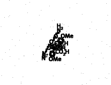 COc1ccc(C(=O)[C@](O)(C(=O)O)[C@@](O)(C(=O)O)C(=O)c2ccc(OC)cc2)cc1.[N-]=[N+]=NCCOCCOCCOCCN